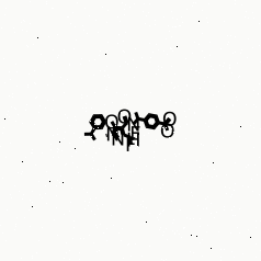 COC(=O)c1ccc(C(C)NC(=O)c2c(C(F)F)nn(C)c2Oc2cccc(C(C)C)c2)cc1